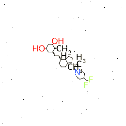 C=C1C(=CC=C2CCC[C@]3(C)[C@@H](C(C)CN4CCC(C(F)F)CC4)CC[C@@H]23)C[C@@H](O)C[C@@H]1O